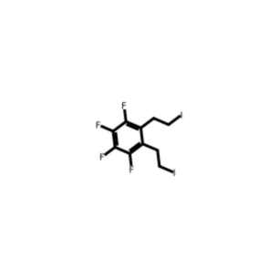 Fc1c(F)c(F)c(CCI)c(CCI)c1F